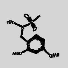 CCCN(Cc1ccc(OC)cc1OC)S(C)(=O)=O